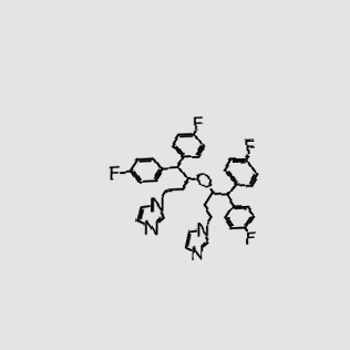 Fc1ccc(C(c2ccc(F)cc2)C(CCn2ccnc2)OC(CCn2ccnc2)C(c2ccc(F)cc2)c2ccc(F)cc2)cc1